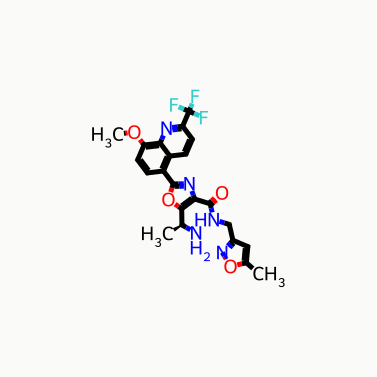 COc1ccc(-c2nc(C(=O)NCc3cc(C)on3)c([C@H](C)N)o2)c2ccc(C(F)(F)F)nc12